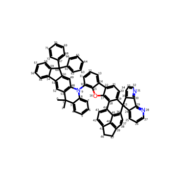 CC1(C)c2ccccc2N(c2cccc3c2oc2c4c(ccc23)C2(c3cccnc3-c3ncccc32)c2ccc3c5c(ccc-4c25)CC3)c2cc3c(cc21)-c1ccccc1C3(c1ccccc1)c1ccccc1